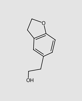 OCCc1ccc2c(c1)CCO2